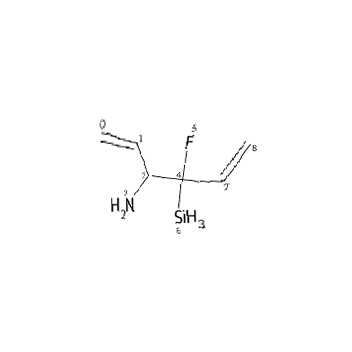 C=CC(N)C(F)([SiH3])C=C